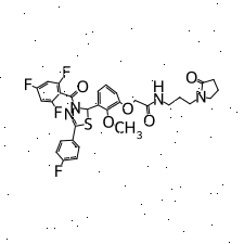 COc1c(OCC(=O)NCCCN2CCCC2=O)cccc1C1SC(c2ccc(F)cc2)=NN1C(=O)c1c(F)cc(F)cc1F